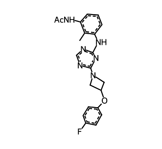 CC(=O)Nc1cccc(Nc2ncnc(N3CC(Oc4ccc(F)cc4)C3)n2)c1C